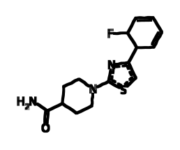 NC(=O)C1CCN(c2nc(C3C=CC=CC3F)cs2)CC1